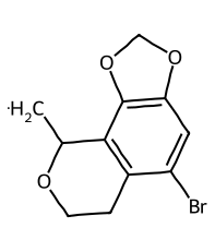 [CH2]C1OCCc2c(Br)cc3c(c21)OCO3